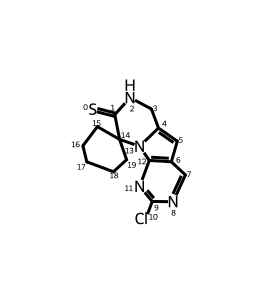 S=C1NCc2cc3cnc(Cl)nc3n2C12CCCCC2